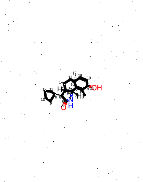 CC1=C2[C@@H]3NC(=O)[C@@H](C4CCCC4)[C@@H]3CC[C@@]2(C)C=CC1O